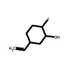 C=CC1CCC(I)C(O)C1